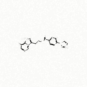 O=C(NCCc1c[nH]c2c(F)cccc12)c1ccc(-n2ccnc2)cc1